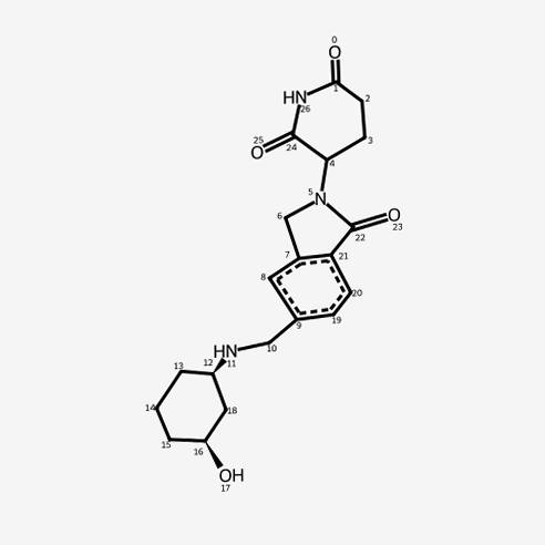 O=C1CCC(N2Cc3cc(CN[C@@H]4CCC[C@H](O)C4)ccc3C2=O)C(=O)N1